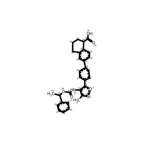 Cc1noc(-c2ccc(-c3ccc4c(c3)CCCC4C(=O)O)cc2)c1NC(=O)OC(C)c1ccccc1